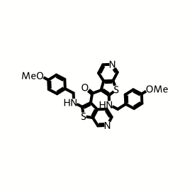 COc1ccc(CNc2sc3cnccc3c2C(=O)c2c(NCc3ccc(OC)cc3)sc3cnccc23)cc1